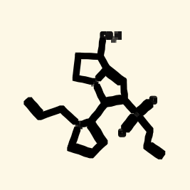 C=CCn1cccc1-c1c(S(=O)(=O)CC=C)cc2n1CCC2C(=O)O